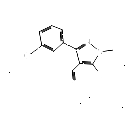 Cn1nc(-c2cccc(Cl)c2)c(C=O)c1Br